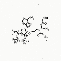 CC(C)[Si]1(C(C)C)OC(=CN(C)C)[C@H]2O[C@@H](n3cnc4c(N)ncnc43)[C@H](OCCCN(C(=O)OC(C)(C)C)C(N)=NC(=O)OC(C)(C)C)[C@@H]2O[Si](C(C)C)(C(C)C)O1